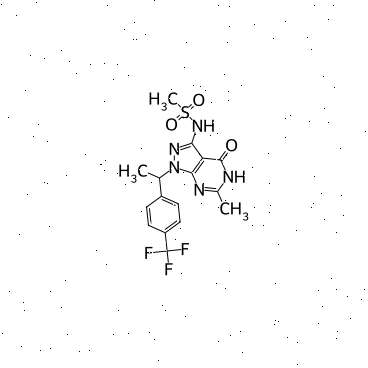 Cc1nc2c(c(NS(C)(=O)=O)nn2C(C)c2ccc(C(F)(F)F)cc2)c(=O)[nH]1